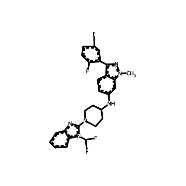 Cn1nc(-c2cc(F)ccc2F)c2ccc(NC3CCN(c4nc5ccccc5n4C(F)F)CC3)cc21